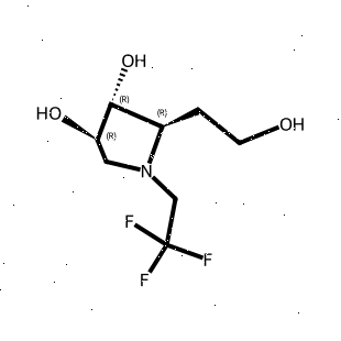 OCC[C@@H]1[C@@H](O)[C@H](O)CN1CC(F)(F)F